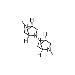 CN1C[C@H]2C[C@@H]1CN2N1C[C@@H]2C[C@H]1CN2C